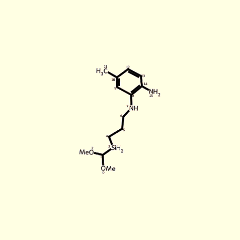 COC(OC)[SiH2]CCCNc1cc(C)ccc1N